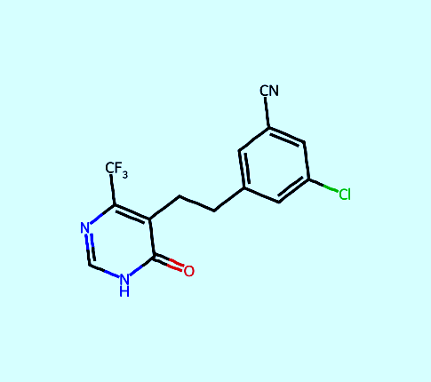 N#Cc1cc(Cl)cc(CCc2c(C(F)(F)F)nc[nH]c2=O)c1